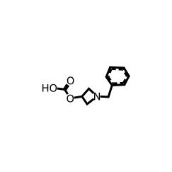 O=C(O)OC1CN(Cc2ccccc2)C1